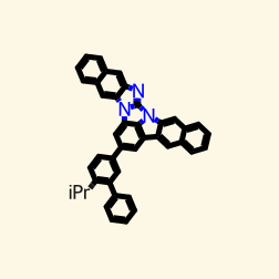 CC(C)c1ccc(-c2cc3c4cc5ccccc5cc4n4c3c(c2)n2c3cc5ccccc5cc3nc24)cc1-c1ccccc1